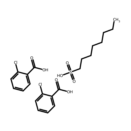 CCCCCCCCS(=O)(=O)O.O=C(O)c1ccccc1Cl.O=C(O)c1ccccc1Cl